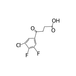 O=C(O)CCC(=O)c1cc(F)c(F)c(Cl)c1